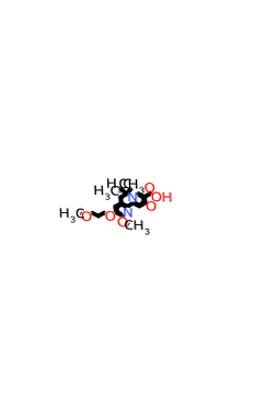 CCC1(C(C)C)Cc2cc(OCCCOC)c(OC)nc2-c2cc(=O)c(C(=O)O)cn21